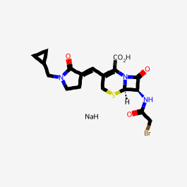 O=C(CBr)N[C@@H]1C(=O)N2C(C(=O)O)=C(/C=C3\CCN(CC4CC4)C3=O)CS[C@H]12.[NaH]